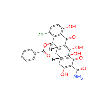 NC(=O)C1=C(O)C[C@@H]2C[C@H]3C(=C(O)[C@]2(O)C1=O)C(=O)c1c(O)ccc(Cl)c1[C@@H]3OC(=O)c1ccccc1